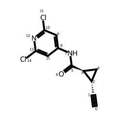 C#C[C@H]1C[C@@H]1C(=O)Nc1cc(Cl)nc(Cl)c1